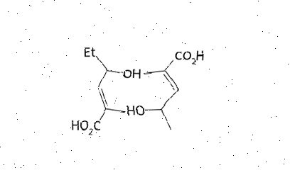 CC(=CC(C)O)C(=O)O.CCC(O)C=C(C)C(=O)O